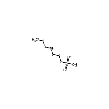 CCONCCCS(=O)(=O)O